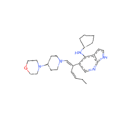 CC/C=C\C(=C/N1CCC(N2CCOCC2)CC1)c1cnc2[nH]ccc2c1NC1CCCC1